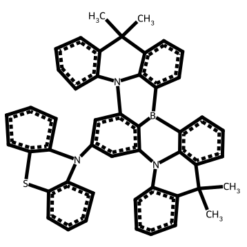 CC1(C)c2ccccc2N2c3cc(N4c5ccccc5Sc5ccccc54)cc4c3B(c3cccc1c32)c1cccc2c1N4c1ccccc1C2(C)C